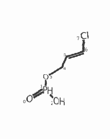 O=[PH](O)OCC=CCl